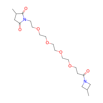 CC1CN(C(=O)CCOCCOCCOCCOCCN2C(=O)CC(C)C2=O)C1